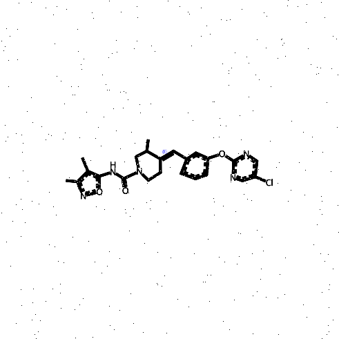 Cc1noc(NC(=O)N2CC/C(=C\c3cccc(Oc4ncc(Cl)cn4)c3)C(C)C2)c1C